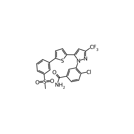 CS(=O)(=O)c1cccc(-c2ccc(-c3cc(C(F)(F)F)nn3-c3cc(C(N)=O)ccc3Cl)s2)c1